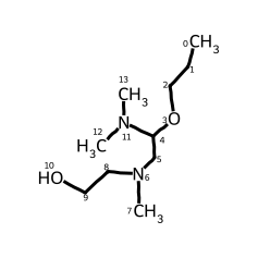 CCCOC(CN(C)CCO)N(C)C